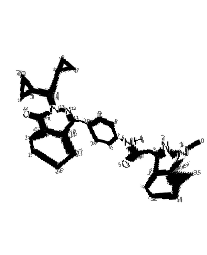 Cn1nc(C(=O)N[C@H]2CC[C@H](c3nn(C(C4CC4)C4CC4)c(=O)c4ccccc43)CC2)c2ccccc21